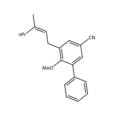 CCC/C(C)=C\Cc1cc(C#N)cc(-c2ccccc2)c1OC